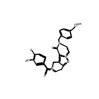 COc1ccc(CN2CCn3nc4c(c3C2=O)CN(C(=O)c2ccc(Cl)c(C#N)c2)CC4)cc1